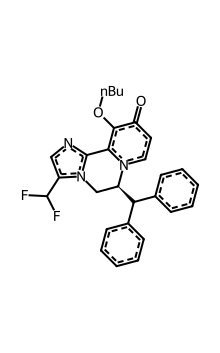 CCCCOc1c2n(ccc1=O)[C@@H](C(c1ccccc1)c1ccccc1)Cn1c(C(F)F)cnc1-2